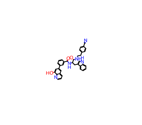 N#Cc1ccc(CCNC(=O)C(Cc2c[nH]c3ccccc23)NC(=O)c2cccc(-c3cc(O)c4ncccc4c3)c2)cc1